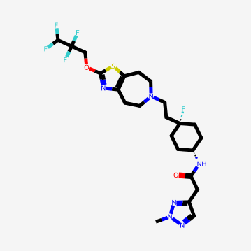 Cn1ncc(CC(=O)N[C@H]2CC[C@](F)(CCN3CCc4nc(OCC(F)(F)C(F)F)sc4CC3)CC2)n1